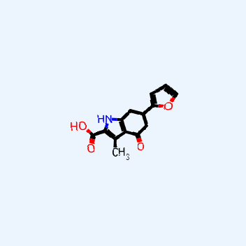 Cc1c(C(=O)O)[nH]c2c1C(=O)CC(c1ccco1)C2